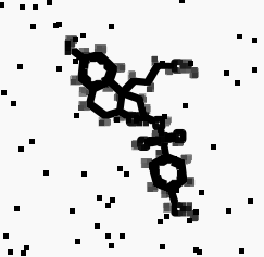 CCCCC1(CCOS(=O)(=O)c2ccc(C)cc2)c2ccc(F)cc2CCC1O